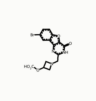 O=C(O)OC1CN(Cc2nc3c(oc4ccc(Br)cc43)c(=O)[nH]2)C1